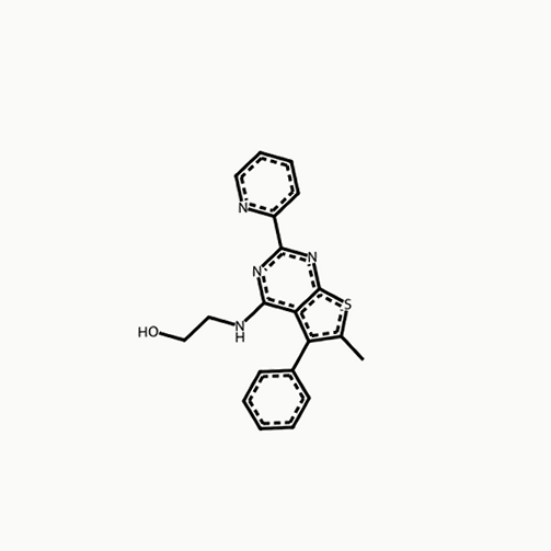 Cc1sc2nc(-c3ccccn3)nc(NCCO)c2c1-c1ccccc1